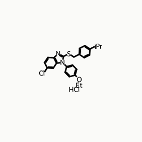 CCOc1ccc(-n2c(SCc3ccc(C(C)C)cc3)nc3ccc(Cl)cc32)cc1.Cl